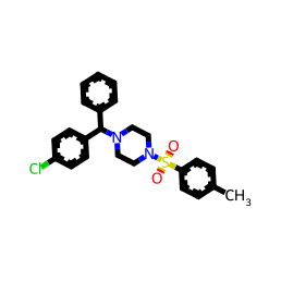 Cc1ccc(S(=O)(=O)N2CCN(C(c3ccccc3)c3ccc(Cl)cc3)CC2)cc1